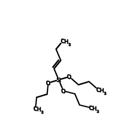 CC/C=C/[Si](OCCC)(OCCC)OCCC